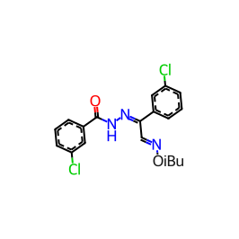 CC(C)CO/N=C/C(=N\NC(=O)c1cccc(Cl)c1)c1cccc(Cl)c1